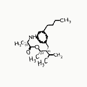 C=C(C)[C@@H](Cc1cccc(CCCC)c1)[C@H](C)OC(=O)[C@H](C)N